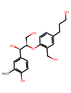 COc1cc([C@@H](O)[C@@H](CO)Oc2ccc(CCCO)cc2CO)ccc1O